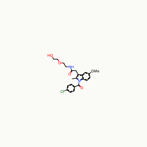 COc1ccc2c(c1)c(CC(=O)NCCOCCO)c(C)n2C(=O)c1ccc(Cl)cc1